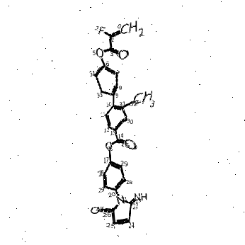 C=C(F)C(=O)OC1=CC=C(c2ccc(C(=O)Oc3ccc(N4C(=N)C=CC4=O)cc3)cc2C)CC1